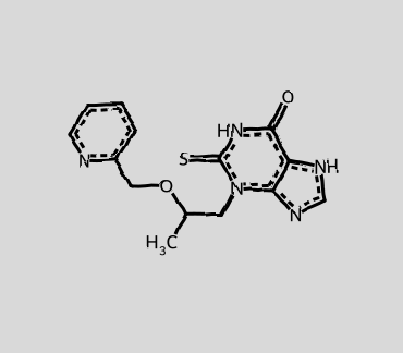 CC(Cn1c(=S)[nH]c(=O)c2[nH]cnc21)OCc1ccccn1